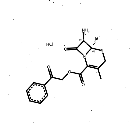 CC1=C(C(=O)OCC(=O)c2ccccc2)N2C(=O)[C@@H](N)[C@H]2SC1.Cl